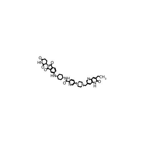 CCc1cc2ncc(CN3CCN(c4ccc(C(=O)N[C@H]5CC[C@H](Nc6ccc7c(c6)C(=O)N(C6CCC(=O)NC6=O)C7=O)CC5)nc4)CC3)cc2[nH]c1=O